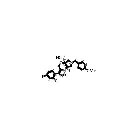 COc1ccc(CN2C[C@@H]3[C@@H](C2)OCc2c(-c4ccc(F)cc4Cl)nnn23)cn1.Cl